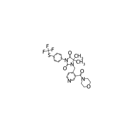 CC1(C)C(=O)N(c2ccc(SC(F)(F)F)cc2)C(=O)N1Cc1ccncc1C(=O)N1CCOCC1